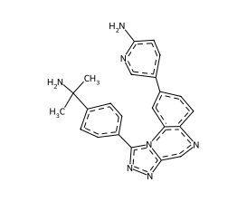 CC(C)(N)c1ccc(-c2nnc3cnc4ccc(-c5ccc(N)nc5)cc4n23)cc1